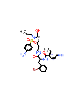 C/C=C(/C=C\C=N)C(=O)NC(CC1=C(Br)CCC=C1)C(=O)NCCCC[C@@H](CO)N(CCC)S(=O)(=O)c1ccc(N)cc1